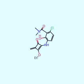 C=C1C(=O)C(Nc2ccc(Cl)c(C(=O)N(C)C)c2O)=C1OCC